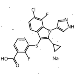 O=C(O)c1cccc(Sc2c(C3CC3)n(-c3cn[nH]c3)c3c(F)c(Cl)ccc23)c1F.[Na]